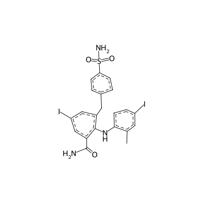 Cc1cc(I)ccc1Nc1c(Cc2ccc(S(N)(=O)=O)cc2)cc(I)cc1C(N)=O